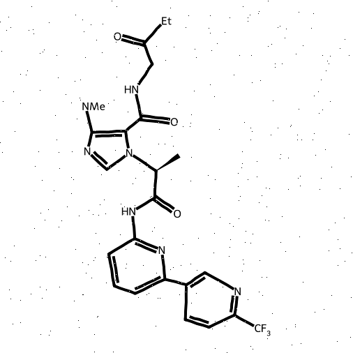 CCC(=O)CNC(=O)c1c(NC)ncn1[C@@H](C)C(=O)Nc1cccc(-c2ccc(C(F)(F)F)nc2)n1